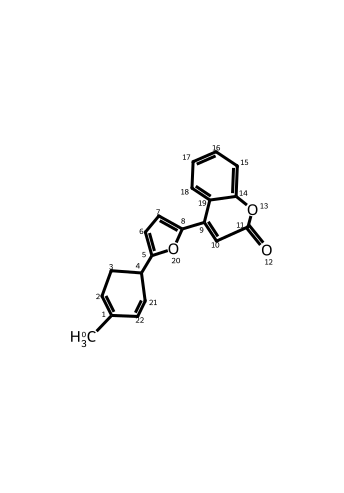 CC1=CCC(c2ccc(-c3cc(=O)oc4ccccc34)o2)C=C1